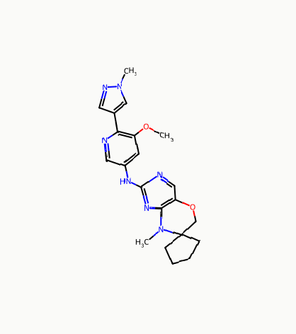 COc1cc(Nc2ncc3c(n2)N(C)C2(CCCC2)CO3)cnc1-c1cnn(C)c1